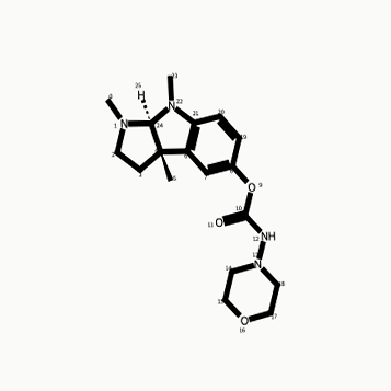 CN1CC[C@@]2(C)c3cc(OC(=O)NN4CCOCC4)ccc3N(C)[C@H]12